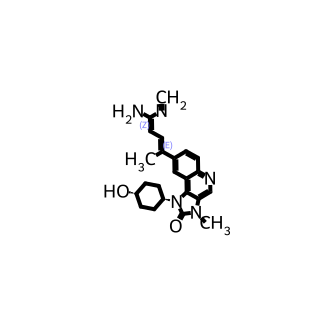 C=N/C(N)=C\C=C(/C)c1ccc2ncc3c(c2c1)n([C@H]1CC[C@@H](O)CC1)c(=O)n3C